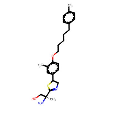 C[C@](N)(CO)C1=NCC(c2ccc(OCCCCCc3ccc(C(F)(F)F)cc3)c(C(F)(F)F)c2)S1